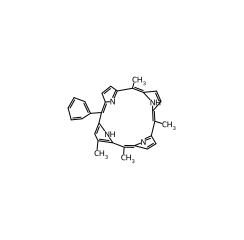 Cc1c2nc(c(-c3ccccc3)c3cc(C)c([nH]3)c(C)c3nc(c(C)c4ccc1[nH]4)C=C3)C=C2